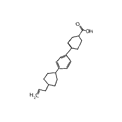 C=CCC1CCC(c2ccc(C3CCC(C(=O)O)CC3)cc2)CC1